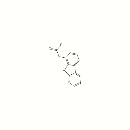 O=C(F)Cc1cccc2c1[CH]c1ccccc1-2